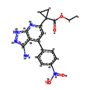 CCOC(=O)C1(c2cc(-c3ccc([N+](=O)O)cc3)c3c(N)n[nH]c3n2)CC1